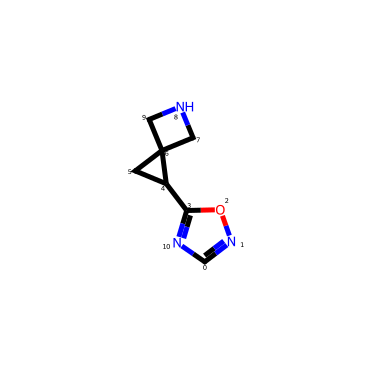 c1noc(C2CC23CNC3)n1